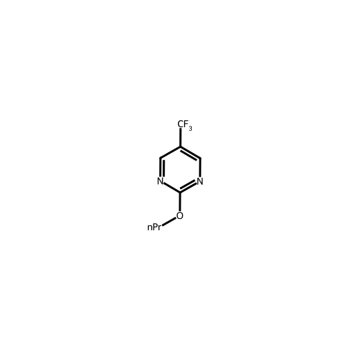 CCCOc1ncc(C(F)(F)F)cn1